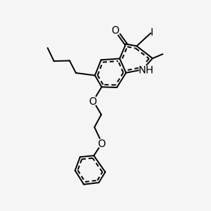 CCCCc1cc2c(=O)c(I)c(C)[nH]c2cc1OCCOc1ccccc1